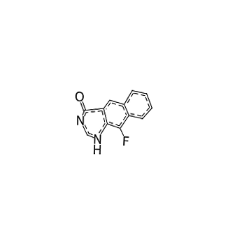 O=c1nc[nH]c2c(F)c3ccccc3cc12